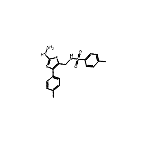 Cc1ccc(-c2nc(NN)sc2CNS(=O)(=O)c2ccc(C)cc2)cc1